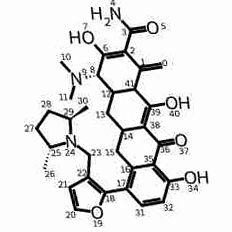 C=C1C(C(N)=O)=C(O)[C@@H](N(C)C)C2CC3Cc4c(-c5occc5CN5[C@H](C)CC[C@H]5C)ccc(O)c4C(=O)C3=C(O)C12